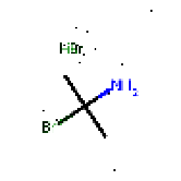 Br.CC(C)(N)Br